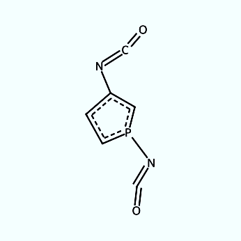 O=C=Nc1ccp(N=C=O)c1